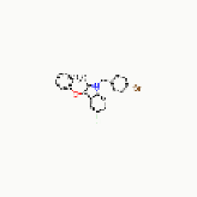 O=C(O)c1c(Oc2ccccc2)c2cc(Cl)ccc2n1Cc1ccc(Br)cc1